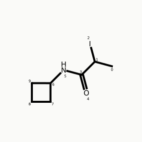 CC(I)C(=O)NC1CCC1